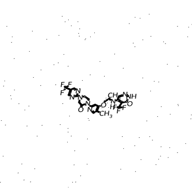 Cc1cnc(N2CCN(c3ncc(C(F)(F)F)cn3)CC2=O)cc1OCC(C)Nc1cn[nH]c(=O)c1C(F)(F)F